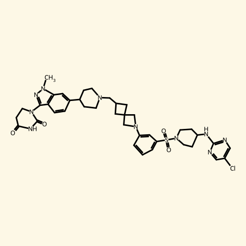 Cn1nc(N2CCC(=O)NC2=O)c2ccc(C3CCN(CC4CC5(C4)CN(c4cccc(S(=O)(=O)N6CCC(Nc7ncc(Cl)cn7)CC6)c4)C5)CC3)cc21